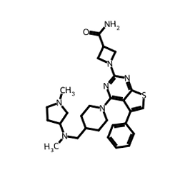 CN1CCC(N(C)CC2CCN(c3nc(N4CC(C(N)=O)C4)nc4scc(-c5ccccc5)c34)CC2)C1